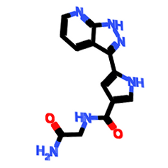 NC(=O)CNC(=O)c1c[nH]c(-c2n[nH]c3ncccc23)c1